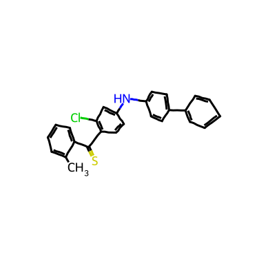 Cc1ccccc1C(=S)c1ccc(Nc2ccc(-c3ccccc3)cc2)cc1Cl